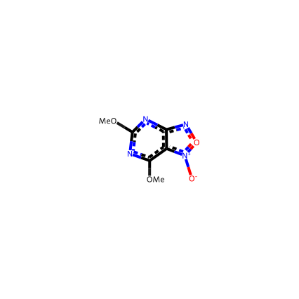 COc1nc(OC)c2c(no[n+]2[O-])n1